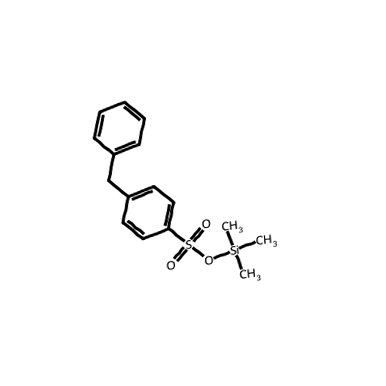 C[Si](C)(C)OS(=O)(=O)c1ccc(Cc2ccccc2)cc1